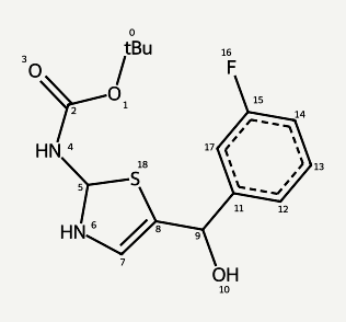 CC(C)(C)OC(=O)NC1NC=C(C(O)c2cccc(F)c2)S1